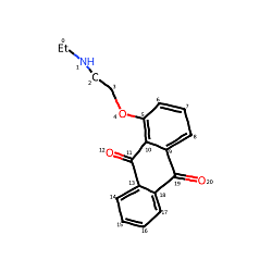 CCNCCOc1cccc2c1C(=O)c1ccccc1C2=O